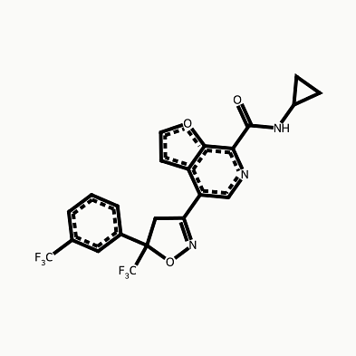 O=C(NC1CC1)c1ncc(C2=NOC(c3cccc(C(F)(F)F)c3)(C(F)(F)F)C2)c2ccoc12